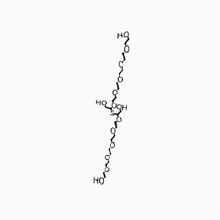 OCCOCCOCCOCCOCCOC(CO)SC(CO)OCCOCCOCCOCCOCCO